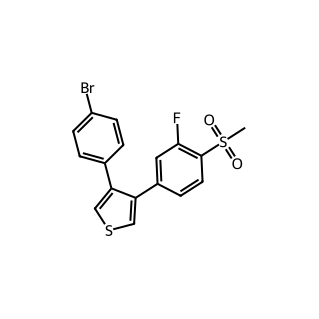 CS(=O)(=O)c1ccc(-c2cscc2-c2ccc(Br)cc2)cc1F